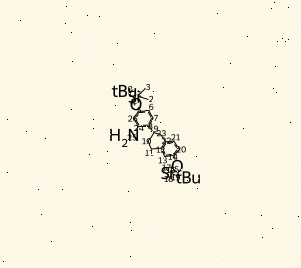 CC(C)(C)[Si](C)(C)Oc1ccc(C2CCc3cc(O[Si](C)(C)C(C)(C)C)ccc3C2)c(N)c1